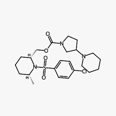 C[C@@H]1CCC[C@H](COC(=O)N2CCC(N3CCCCC3)C2)N1S(=O)(=O)c1ccc(Cl)cc1